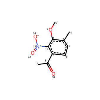 COc1c(C)ccc(C(C)=O)c1[N+](=O)[O-]